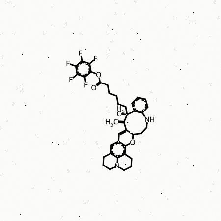 C=C1C2=Cc3cc4c5c(c3OC2CCNc2ccccc2C1(C)CCCCCC(=O)Oc1c(F)c(F)c(F)c(F)c1F)CCCN5CCC4